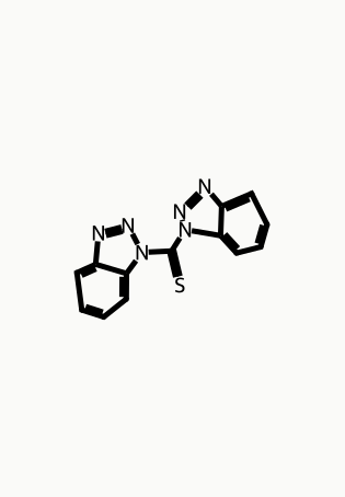 S=C(n1nnc2ccccc21)n1nnc2ccccc21